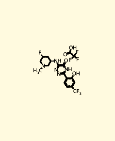 CN1C[C@@H](F)C[C@@H](Nc2nnc(-c3ccc(C(F)(F)F)cc3O)[nH]c2=O)C1.O=C(O)C(F)(F)F